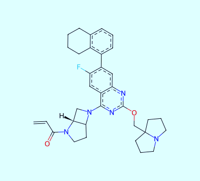 C=CC(=O)N1CCC2[C@H]1CN2c1nc(OCC23CCCN2CCC3)nc2cc(-c3cccc4c3CCCC4)c(F)cc12